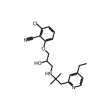 CCc1ccnc(CC(C)(C)NCC(O)COc2cccc(Cl)c2C#N)c1